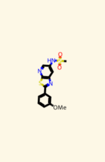 COc1cccc(-c2nc3cc(NS(C)(=O)=O)cnc3s2)c1